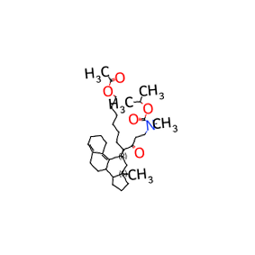 CC(=O)OCCCCCCC(C(=O)CCN(C)C(=O)OC(C)C)[C@H]1C[C@]2(C)CCCC2C2CCC3=CCCCC3=C21